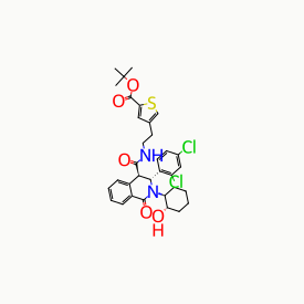 CC(C)(C)OC(=O)c1cc(CCNC(=O)[C@@H]2c3ccccc3C(=O)N([C@H]3CCCC[C@@H]3O)[C@H]2c2ccc(Cl)cc2Cl)cs1